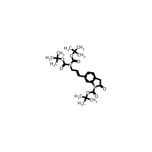 CC(C)(C)OC(=O)N(C/C=C/c1ccc2c(c1)N(C(=O)OC(C)(C)C)C(=O)C2)C(=O)OC(C)(C)C